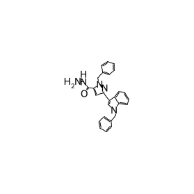 NNC(=O)c1cc(-c2cn(Cc3ccccc3)c3ccccc23)nn1Cc1ccccc1